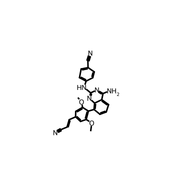 COc1cc(/C=C/C#N)cc(OC)c1-c1cccc2c(N)nc(Nc3ccc(C#N)cc3)nc12